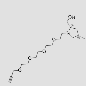 C#CCOCCOCCOCCOCCN1C[C@@H](C)C[C@H]1CO